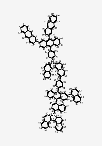 c1ccc2cc3cc(-c4ccc5c(-c6ccc(-n7c8ccc9ccccc9c8c8c9cc(-c%10ccc(-c%11c%12ccccc%12c(-c%12ccc(-n%13c%14ccc%15ccccc%15c%14c%14c%15ccccc%15ccc%14%13)c%13ccccc%12%13)c%12ccc(-c%13cccc%14ccccc%13%14)cc%11%12)cc%10)ccc9ccc87)cc6)c6ccccc6c(-c6ccc7cc8ccccc8cc7c6)c5c4)ccc3cc2c1